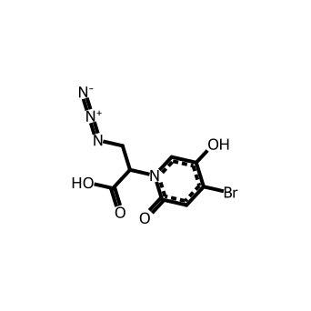 [N-]=[N+]=NCC(C(=O)O)n1cc(O)c(Br)cc1=O